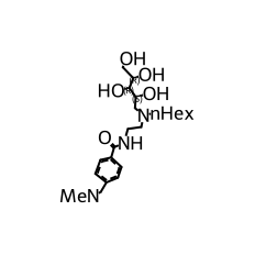 CCCCCCN(CCNC(=O)c1ccc(CNC)cc1)C[C@H](O)[C@@H](O)[C@H](O)CO